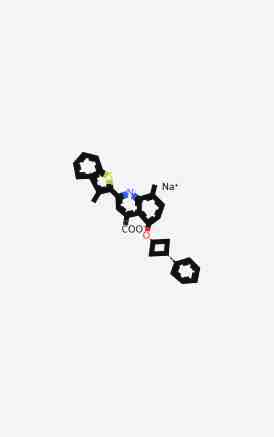 Cc1c(-c2cc(C(=O)[O-])c3c(O[C@H]4C[C@@H](c5ccccc5)C4)ccc(C)c3n2)sc2ccccc12.[Na+]